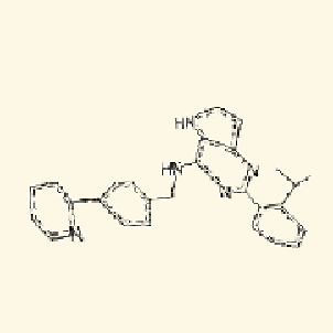 CC(C)c1ccccc1-c1nc(NCc2ccc(-c3ccccn3)cc2)c2[nH]ccc2n1